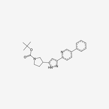 CC(C)(C)OC(=O)N1CCC(c2cc(-c3ccc(-c4ccccc4)cn3)n[nH]2)C1